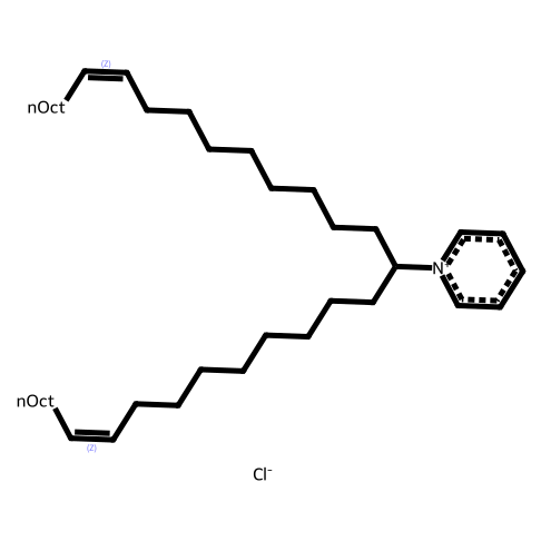 CCCCCCCC/C=C\CCCCCCCCC(CCCCCCCC/C=C\CCCCCCCC)[n+]1ccccc1.[Cl-]